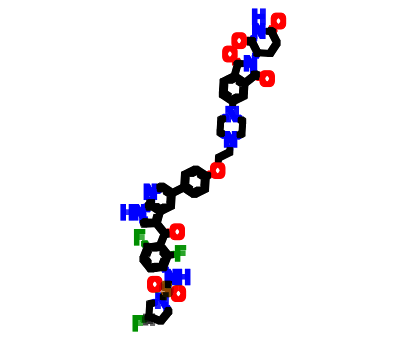 O=C1CCC(N2C(=O)c3ccc(N4CCN(CCOc5ccc(-c6cnc7[nH]cc(C(=O)c8c(F)ccc(NS(=O)(=O)N9CC[C@@H](F)C9)c8F)c7c6)cc5)CC4)cc3C2=O)C(=O)N1